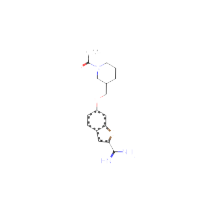 COC(=O)N1CCCC(COc2ccc3cc(C(=N)N)sc3c2)C1